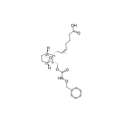 O=C(O)CCC/C=C\C[C@@H]1[C@H](COC(=O)NOCc2ccccc2)[C@@H]2CC[C@H]1O2